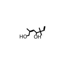 C=CC(C)(C)C(O)C=C(C)CO